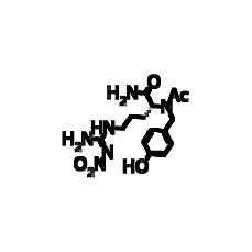 CC(=O)N(Cc1ccc(O)cc1)[C@H](CCCNC(N)=N[N+](=O)[O-])C(N)=O